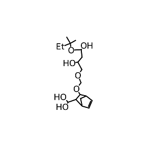 CCC(C)(C)OC(O)CC(O)COCOC1C2C=CC(C2)C1C(O)O